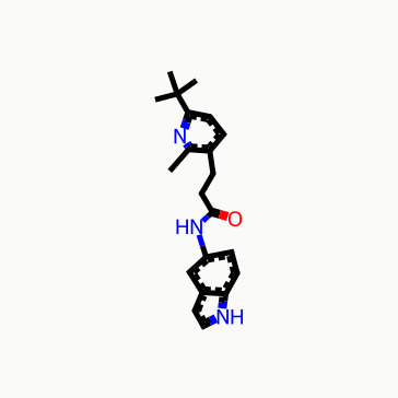 Cc1nc(C(C)(C)C)ccc1CCC(=O)Nc1ccc2[nH]ccc2c1